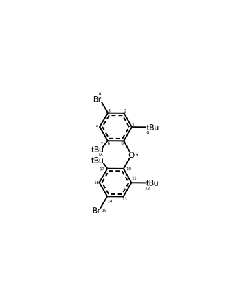 CC(C)(C)c1cc(Br)cc(C(C)(C)C)c1Oc1c(C(C)(C)C)cc(Br)cc1C(C)(C)C